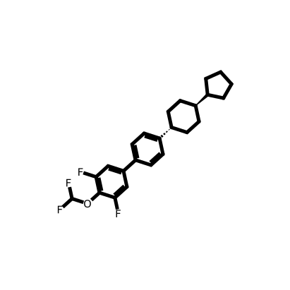 Fc1cc(-c2ccc([C@H]3CC[C@H](C4CCCC4)CC3)cc2)cc(F)c1OC(F)F